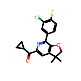 CC1(C)COc2c1cc(C(=O)C1CC1)nc2-c1ccc(F)c(Cl)c1